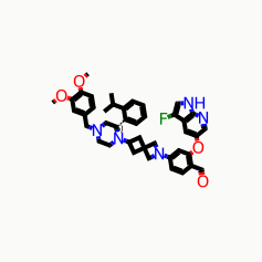 COc1ccc(CN2CCN(C3CC4(C3)CN(c3ccc(C=O)c(Oc5cnc6[nH]cc(F)c6c5)c3)C4)[C@@H](c3ccccc3C(C)C)C2)cc1OC